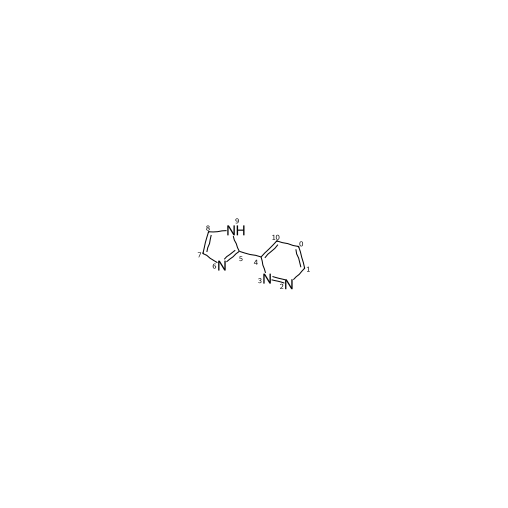 c1cnnc(-c2ncc[nH]2)c1